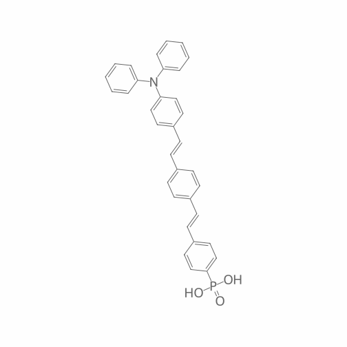 O=P(O)(O)c1ccc(/C=C/c2ccc(/C=C/c3ccc(N(c4ccccc4)c4ccccc4)cc3)cc2)cc1